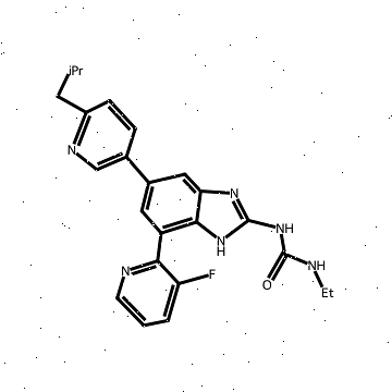 CCNC(=O)Nc1nc2cc(-c3ccc(CC(C)C)nc3)cc(-c3ncccc3F)c2[nH]1